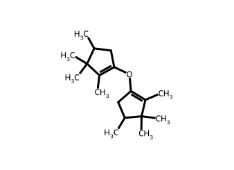 CC1=C(OC2=C(C)C(C)(C)C(C)C2)CC(C)C1(C)C